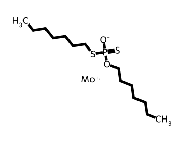 CCCCCCCOP([O-])(=S)SCCCCCCC.[Mo+]